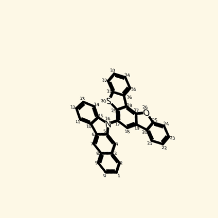 c1ccc2cc3c(cc2c1)c1ccccc1n3-c1cc2c3ccccc3oc2c2c1sc1ccccc12